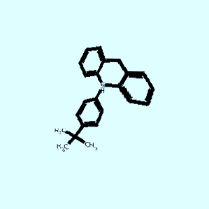 CC(C)(C)c1ccc([SiH]2c3ccccc3Cc3ccccc32)cc1